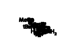 COC(=O)OC[C@@H](NC(=O)N[C@H](C(=O)N1C[C@H]2[C@@H]([C@H]1C(=O)NC(CC1CCC1)C(=O)C(N)=O)C2(C)C)C(C)(C)C)C(C)(C)C